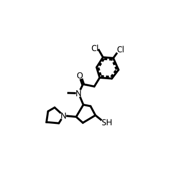 CN(C(=O)Cc1ccc(Cl)c(Cl)c1)C1CC(S)CC1N1CCCC1